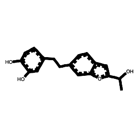 CC(O)c1cc2ccc(CCc3ccc(O)c(O)c3)cc2o1